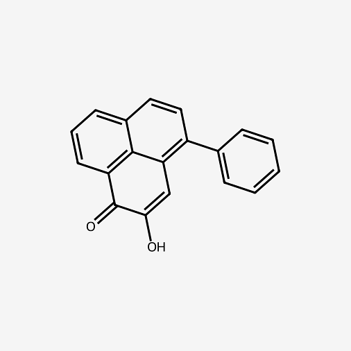 O=C1C(O)=Cc2c(-c3ccccc3)ccc3cccc1c23